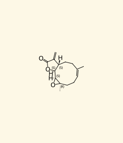 C=C1C(=O)O[C@H]2[C@H]1CCC(C)=CCC[C@@]1(C)O[C@@H]21